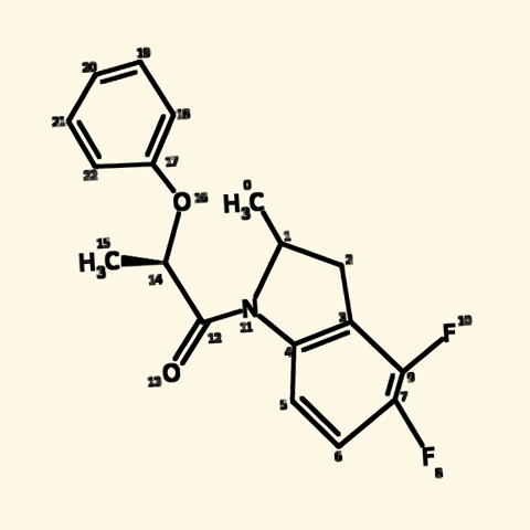 CC1Cc2c(ccc(F)c2F)N1C(=O)[C@@H](C)Oc1ccccc1